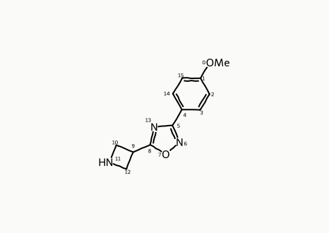 COc1ccc(-c2noc(C3CNC3)n2)cc1